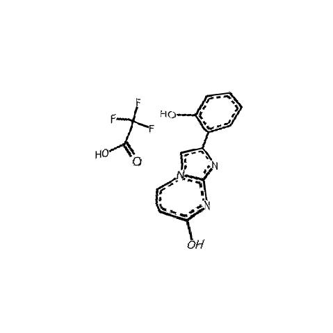 O=C(O)C(F)(F)F.Oc1ccn2cc(-c3ccccc3O)nc2n1